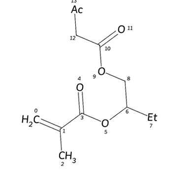 C=C(C)C(=O)OC(CC)COC(=O)CC(C)=O